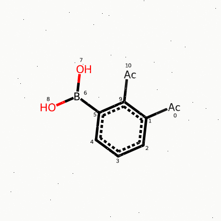 CC(=O)c1cccc(B(O)O)c1C(C)=O